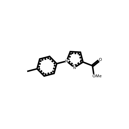 COC(=O)c1ccn(-c2ccc(C)cc2)n1